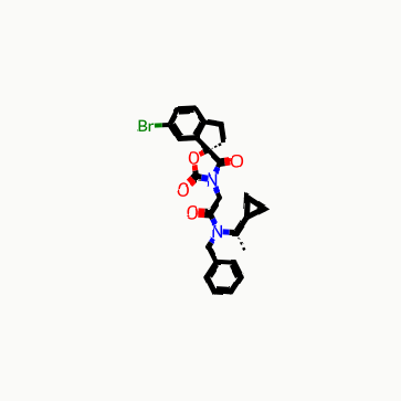 C[C@@H](C1CC1)N(Cc1ccccc1)C(=O)CN1C(=O)O[C@]2(CCc3ccc(Br)cc32)C1=O